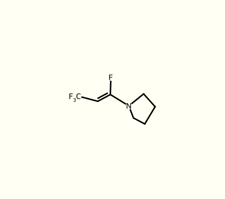 F/C(=C\C(F)(F)F)N1CCCC1